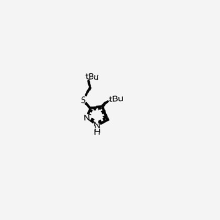 CC(C)(C)CSc1n[nH]cc1C(C)(C)C